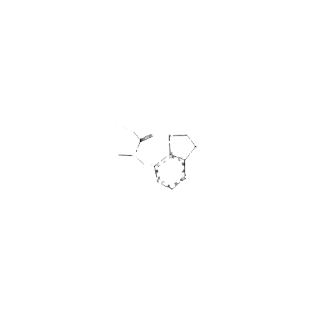 CC(=O)NC(=O)N(C)C.c1ccc2c(c1)CCC2